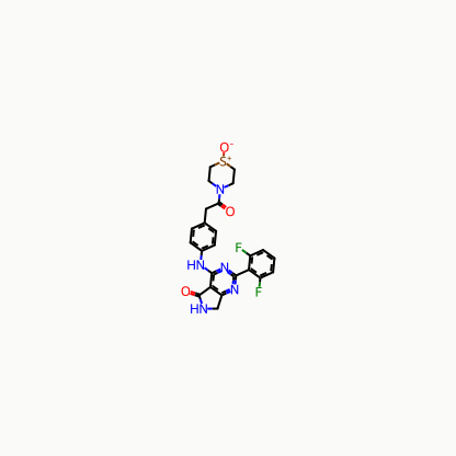 O=C1NCc2nc(-c3c(F)cccc3F)nc(Nc3ccc(CC(=O)N4CC[S+]([O-])CC4)cc3)c21